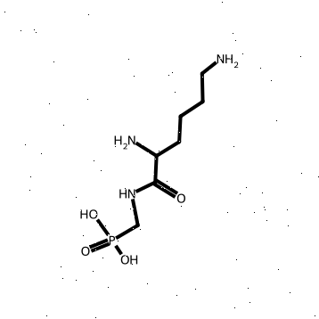 NCCCCC(N)C(=O)NCP(=O)(O)O